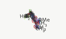 COCCN(C)C(=O)OC(CC/C=C/C(=O)N(C)C)C(=O)Nc1cccn(Cc2cc3cc(F)cc(OCc4ccc(F)cc4F)c3n2C(=O)O)c1=O